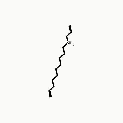 C=CCCCCCCCC[SiH2]CC=C